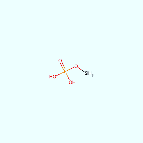 O=P(O)(O)O[SiH3]